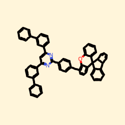 C1=CC2c3ccccc3C3(c4ccccc4Oc4c(-c5ccc(-c6nc(-c7cccc(-c8ccccc8)c7)cc(-c7cccc(-c8ccccc8)c7)n6)cc5)cccc43)C2C=C1